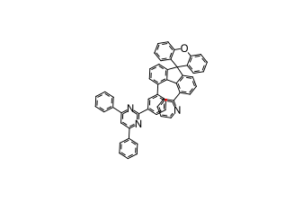 c1ccc(-c2cc(-c3ccccc3)nc(-c3cccc(-c4cccc5c4-c4c(-c6ccccn6)cccc4C54c5ccccc5Oc5ccccc54)c3)n2)cc1